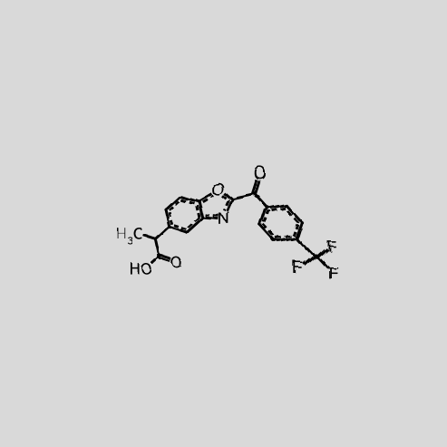 CC(C(=O)O)c1ccc2oc(C(=O)c3ccc(C(F)(F)F)cc3)nc2c1